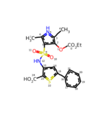 CCOC(=O)Oc1c(C)[nH]c(C)c1S(=O)(=O)Nc1cc(-c2ccccc2)sc1C(=O)O